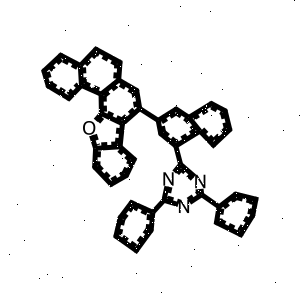 c1ccc(-c2nc(-c3ccccc3)nc(-c3cc(-c4cc5ccc6ccccc6c5c5oc6ccccc6c45)cc4ccccc34)n2)cc1